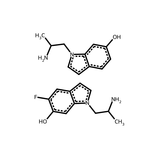 CC(N)Cn1ccc2cc(F)c(O)cc21.CC(N)Cn1ccc2ccc(O)cc21